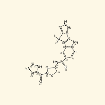 CC1(C)c2c[nH]nc2-c2[nH]c3ccc(C(=O)NC4CCN(C(=O)c5nnc[nH]5)C4)cc3c21